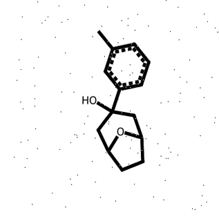 Cc1cccc(C2(O)CC3CCC(C2)O3)c1